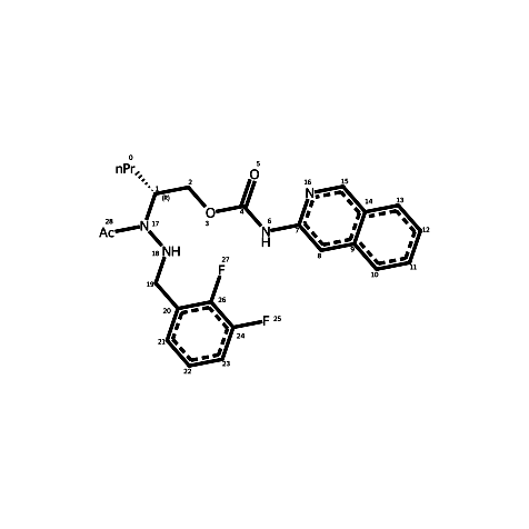 [CH2]CC[C@H](COC(=O)Nc1cc2ccccc2cn1)N(NCc1cccc(F)c1F)C(C)=O